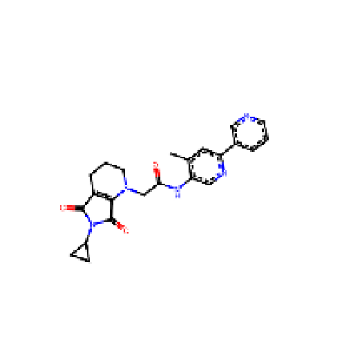 Cc1cc(-c2cccnc2)ncc1NC(=O)CN1CCCC2=C1C(=O)N(C1CC1)C2=O